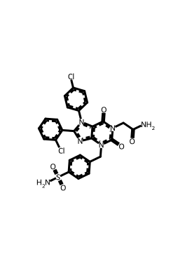 NC(=O)Cn1c(=O)c2c(nc(-c3ccccc3Cl)n2-c2ccc(Cl)cc2)n(Cc2ccc(S(N)(=O)=O)cc2)c1=O